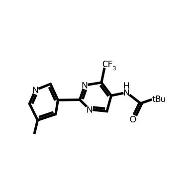 Cc1cncc(-c2ncc(NC(=O)C(C)(C)C)c(C(F)(F)F)n2)c1